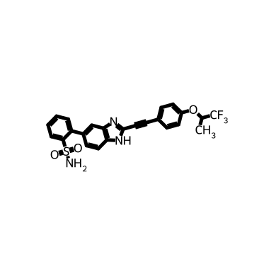 CC(Oc1ccc(C#Cc2nc3cc(-c4ccccc4S(N)(=O)=O)ccc3[nH]2)cc1)C(F)(F)F